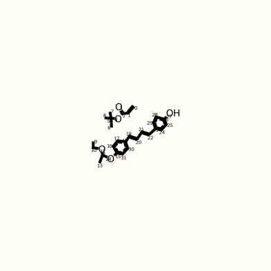 C=CC(=O)OC(C)(C)C.CCOC(C)Oc1ccc(C=CC=Cc2ccc(O)cc2)cc1